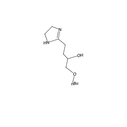 CCCCOCC(O)CCC1=NCCN1